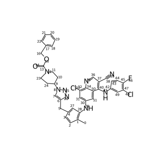 Cc1ccc(Cc2cn(C3CCN(C(=O)OCc4ccccc4)CC3)nn2)cc1Nc1cc(Cl)c2ncc(C#N)c(Nc3ccc(F)c(Cl)c3)c2c1